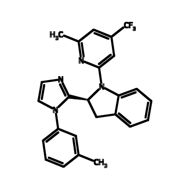 Cc1cccc(-n2ccnc2[C@@H]2Cc3ccccc3N2c2cc(C(F)(F)F)cc(C)n2)c1